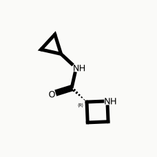 O=C(NC1CC1)[C@H]1CCN1